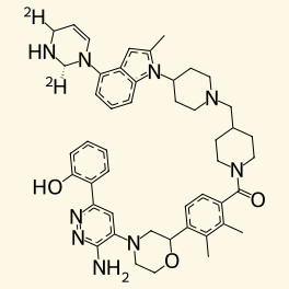 [2H]C1C=CN(c2cccc3c2cc(C)n3C2CCN(CC3CCN(C(=O)c4ccc(C5CN(c6cc(-c7ccccc7O)nnc6N)CCO5)c(C)c4C)CC3)CC2)[C@H]([2H])N1